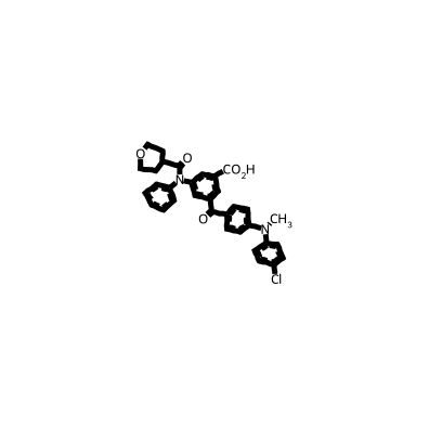 CN(c1ccc(Cl)cc1)c1ccc(C(=O)c2cc(C(=O)O)cc(N(C(=O)C3CCOCC3)c3ccccc3)c2)cc1